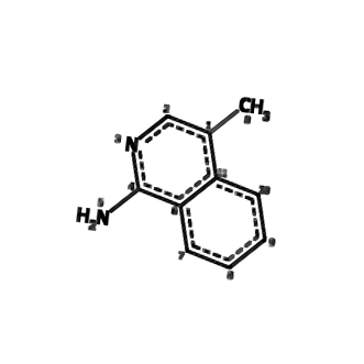 Cc1cnc(N)c2ccccc12